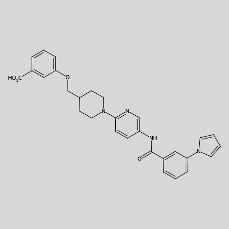 O=C(O)c1cccc(OCC2CCN(c3ccc(NC(=O)c4cccc(-n5cccc5)c4)cn3)CC2)c1